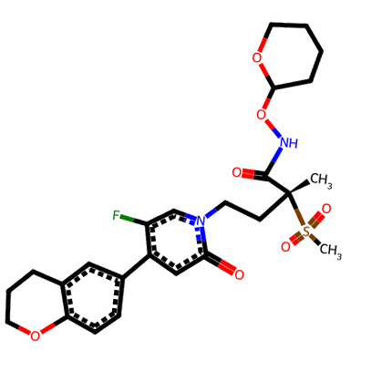 C[C@@](CCn1cc(F)c(-c2ccc3c(c2)CCCO3)cc1=O)(C(=O)NOC1CCCCO1)S(C)(=O)=O